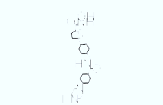 O=C(NCc1ccc(-c2ccc(C(=O)NO)s2)cc1)c1ccc(N2CCNCC2)cc1